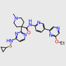 CCOc1cncc(-c2ccc(NC(=O)C3(c4nccc(NSC5CC5)n4)CCN(C)CC3)nc2)n1